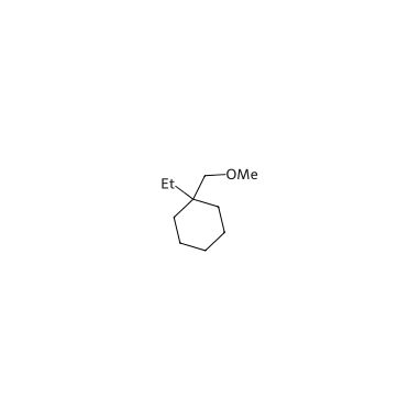 CCC1(COC)CCCCC1